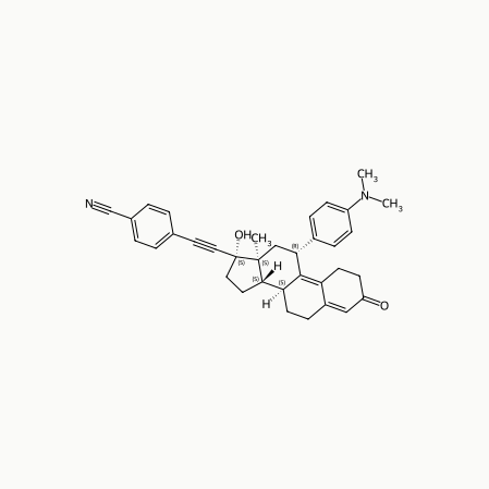 CN(C)c1ccc([C@H]2C[C@@]3(C)[C@@H](CC[C@@]3(O)C#Cc3ccc(C#N)cc3)[C@@H]3CCC4=CC(=O)CCC4=C32)cc1